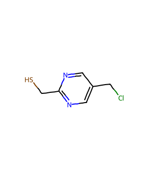 SCc1ncc(CCl)cn1